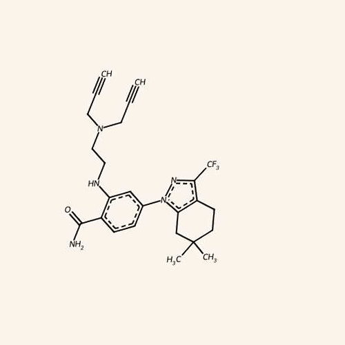 C#CCN(CC#C)CCNc1cc(-n2nc(C(F)(F)F)c3c2CC(C)(C)CC3)ccc1C(N)=O